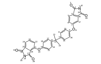 CN1C(=O)c2ccc(Oc3ccc(C(C)(C)c4ccc(Oc5cccc6c5C(=O)N(C)C6=O)cc4)cc3)cc2C1=O